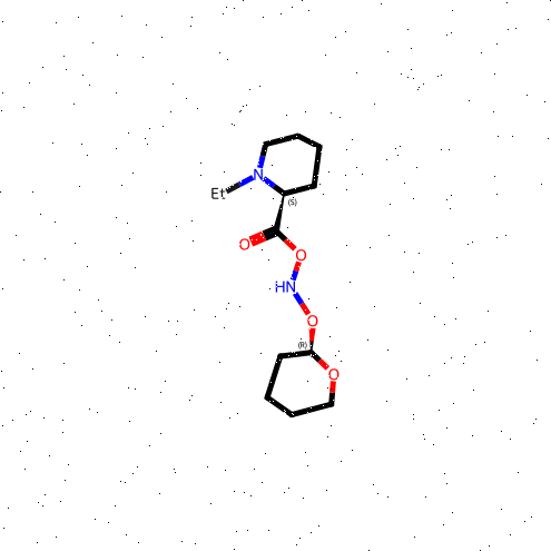 CCN1CCCC[C@H]1C(=O)ONO[C@@H]1CCCCO1